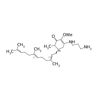 COC1=C(NCCCN)C[C@@H](C/C=C(\C)CC/C=C(\C)CCC=C(C)C)C(C)C1=O